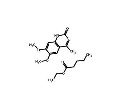 CCCCC(=O)OCC.COc1cc2[nH]c(=O)nc(C)c2cc1OC